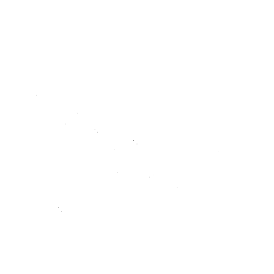 CCC1CN2CCC1C[C@@H]2[C@H](NC(=S)Nc1cc(C(F)(F)F)cc(C(F)(F)F)c1)c1ccnc2ccc(OC)cc12